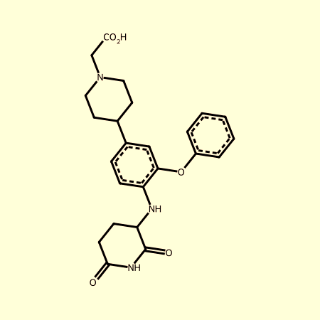 O=C(O)CN1CCC(c2ccc(NC3CCC(=O)NC3=O)c(Oc3ccccc3)c2)CC1